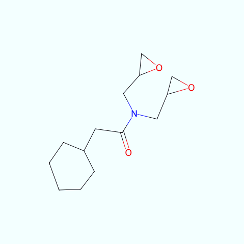 O=C(CC1CCCCC1)N(CC1CO1)CC1CO1